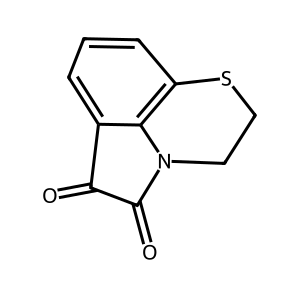 O=C1C(=O)N2CCSc3cccc1c32